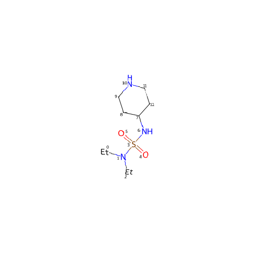 CCN(CC)S(=O)(=O)NC1CCNCC1